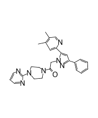 Cc1cnc(-c2cc(-c3ccccc3)nn2CC(=O)N2CCN(c3ncccn3)CC2)cc1C